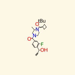 C#CC(O)c1ccc(C(=O)N2CCN(C(OC(C)(C)C)=C3CCC3)C(C)C2)cc1F